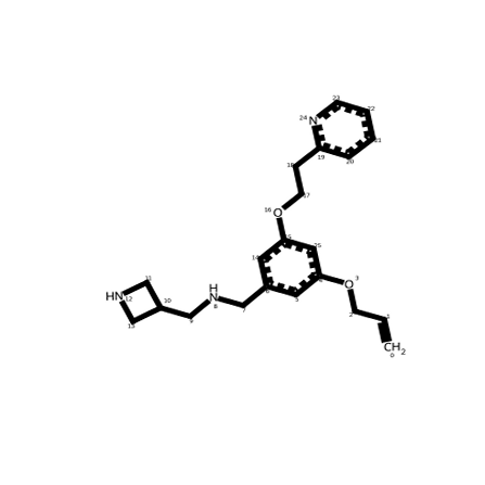 C=CCOc1cc(CNCC2CNC2)cc(OCCc2ccccn2)c1